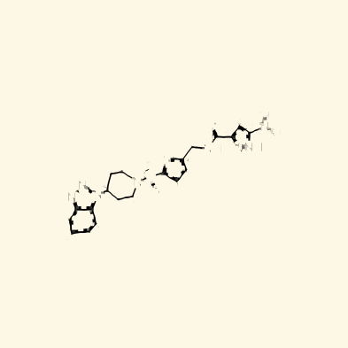 O=C(NCc1ccc(S(=O)(=O)N2CCC(n3nnc4ccccc43)CC2)s1)c1cc([N+](=O)[O-])[nH]n1